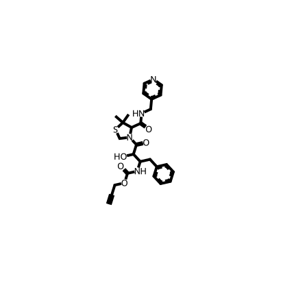 C#CCOC(=O)NC(Cc1ccccc1)C(O)C(=O)N1CSC(C)(C)C1C(=O)NCc1ccncc1